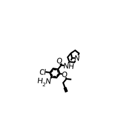 C#CCC(C)Oc1cc(N)c(Cl)cc1C(=O)NC1CC2CCN(C1)C2C